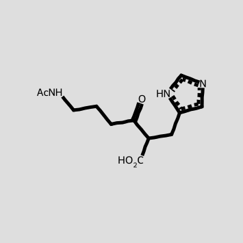 CC(=O)NCCCC(=O)C(Cc1cnc[nH]1)C(=O)O